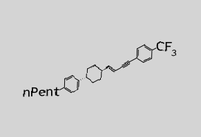 CCCCCc1ccc([C@H]2CC[C@H](C=CC#Cc3ccc(C(F)(F)F)cc3)CC2)cc1